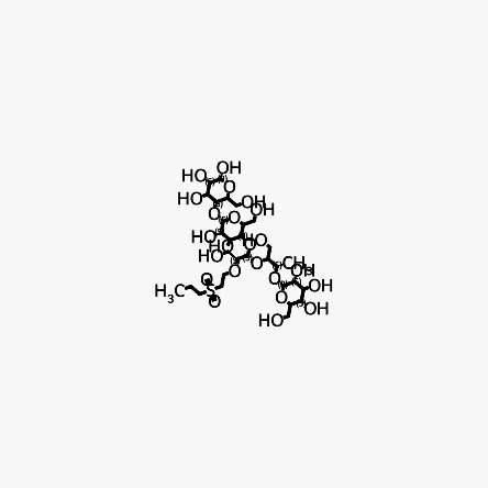 CCCS(=O)(=O)CCO[C@@H](CO)[C@@H](OC(CO)[C@H](C)O[C@@H]1OC(CO)[C@@H](O)C(O)[C@@H]1O)O[C@@H]1C(CO)O[C@@H](O[C@@H]2C(CO)O[C@@H](O)[C@@H](O)C2O)[C@@H](O)C1O